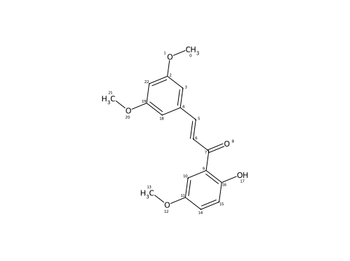 COc1cc(C=CC(=O)c2cc(OC)ccc2O)cc(OC)c1